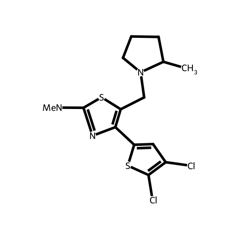 CNc1nc(-c2cc(Cl)c(Cl)s2)c(CN2CCCC2C)s1